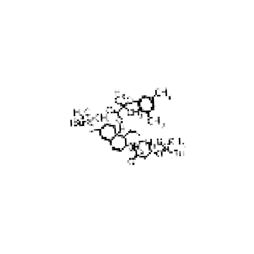 Cc1cc(C)cc(OC(C)(C)C(=O)O[C@H]2C[C@H](O[Si](C)(C)C(C)(C)C)C=C3C=C[C@H](C)[C@H](CC[C@@H]4C[C@@H](O[Si](C)(C)C(C)(C)C)CC(=O)O4)[C@H]32)c1